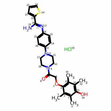 Cc1c(C)c(OCC(=O)N2CCN(c3ccc(/N=C(\N)c4cccs4)cc3)CC2)c(C)c(C)c1O.Cl